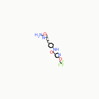 NC1=N[C@@H](CCc2ccc(NC(=O)c3ccc(OCC(F)(F)F)nc3)cc2)CO1